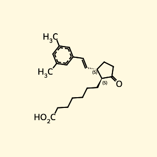 Cc1cc(C)cc(C=C[C@@H]2CCC(=O)[C@H]2CCCCCCC(=O)O)c1